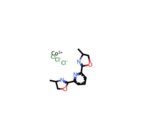 CC1COC(c2cccc(C3=NC(C)CO3)n2)=N1.[Cl-].[Cl-].[Cl-].[Co+3]